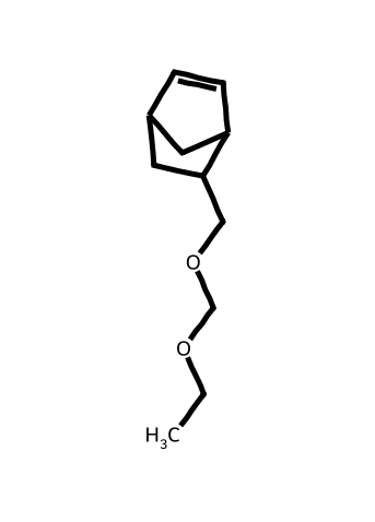 CCOCOCC1CC2C=CC1C2